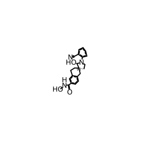 N#Cc1ccccc1N1CC[C@]2(CCc3cc(C(=O)NO)ccc3C2)C1O